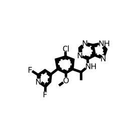 COc1c(-c2cc(F)nc(F)c2)cc(Cl)cc1C(C)Nc1ncnc2[nH]cnc12